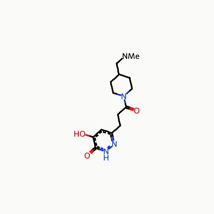 CNCC1CCN(C(=O)CCc2cc(O)c(=O)[nH]n2)CC1